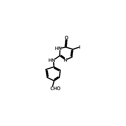 O=Cc1ccc(Nc2ncc(I)c(=O)[nH]2)cc1